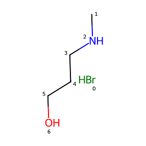 Br.CNCCCO